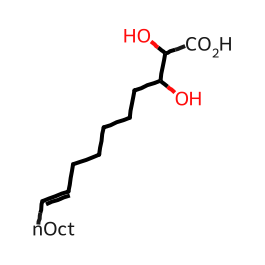 CCCCCCCCC=CCCCCCC(O)C(O)C(=O)O